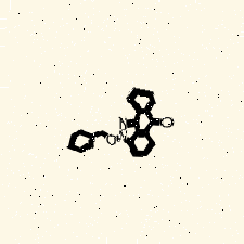 O=C1c2ccccc2-c2nn(OCc3ccccc3)c3cccc1c23